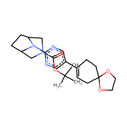 CC(C)(C)OC(=O)N1CC2CCC(C1)N2c1ncc(C2=CCC3(CC2)OCCO3)cn1